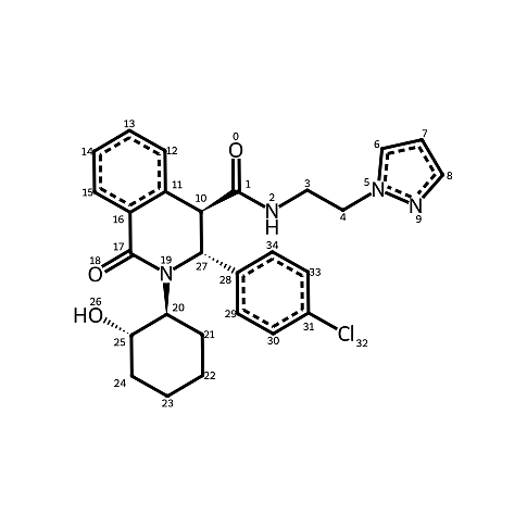 O=C(NCCn1cccn1)[C@@H]1c2ccccc2C(=O)N([C@H]2CCCC[C@@H]2O)[C@H]1c1ccc(Cl)cc1